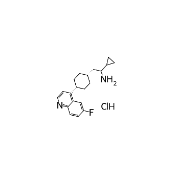 Cl.NC(C[C@H]1CC[C@@H](c2ccnc3ccc(F)cc32)CC1)C1CC1